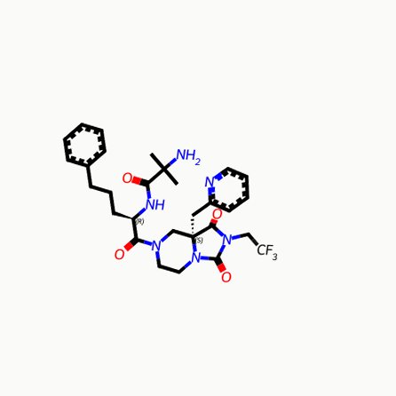 CC(C)(N)C(=O)N[C@H](CCCc1ccccc1)C(=O)N1CCN2C(=O)N(CC(F)(F)F)C(=O)[C@]2(Cc2ccccn2)C1